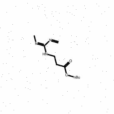 C=N/C(=N\C)NCCC(=O)OCCCC